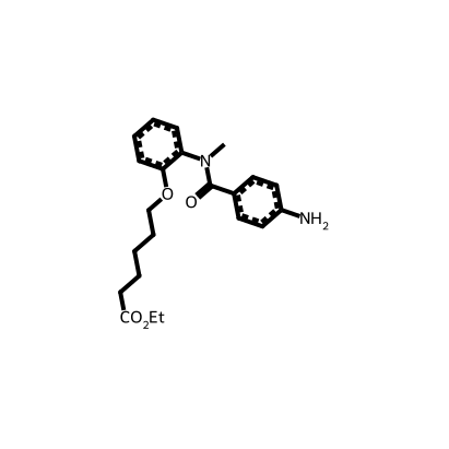 CCOC(=O)CCCCCOc1ccccc1N(C)C(=O)c1ccc(N)cc1